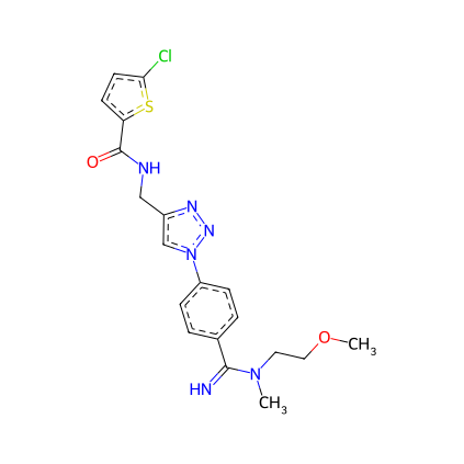 COCCN(C)C(=N)c1ccc(-n2cc(CNC(=O)c3ccc(Cl)s3)nn2)cc1